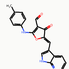 Cc1ccc(NC2=C(C=O)C(=O)/C(=C/c3c[nH]c4ncccc34)O2)cc1